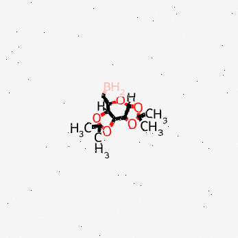 BCC1O[C@@H]2OC(C)(C)OC2C2OC(C)(C)O[C@@H]12